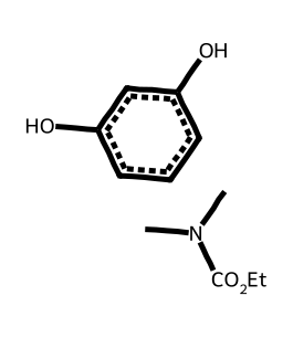 CCOC(=O)N(C)C.Oc1cccc(O)c1